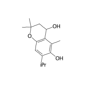 Cc1c(O)c(C(C)C)cc2c1C(O)CC(C)(C)O2